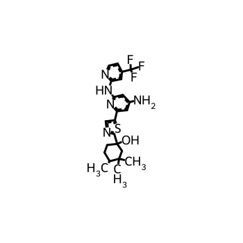 CC1CCC(O)(c2ncc(-c3cc(N)cc(Nc4cc(C(F)(F)F)ccn4)n3)s2)CC1(C)C